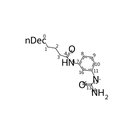 CCCCCCCCCCCCCC(=O)Nc1cccc([N]C(N)=O)c1